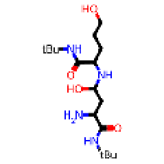 CC(C)(C)NC(=O)C(N)CC(O)NC(CCCO)C(=O)NC(C)(C)C